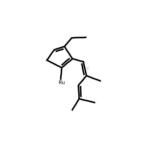 CCC1=CC[C]([Ru])=C1/C=C(/C)C=C(C)C